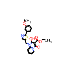 CCOC(=O)c1c(O)[n+](Cc2cnc(-c3cccc(OC)c3)s2)c2ccccn2c1=O